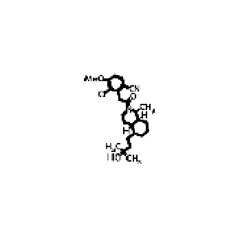 COc1ccc(C#N)c(CC(=O)N2CC[C@H]3C(CCC(C)(C)O)CCC[C@@H]3[C@@H]2C)c1Cl